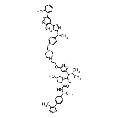 Cc1ncsc1-c1ccc([C@H](C)NC(=O)[C@@H]2C[C@@H](O)CN2C(=O)C(c2cc(OCCN3CCN(Cc4ccc(C(C)n5cc(-c6cc(-c7ccccc7O)nnc6N)cn5)cc4)CC3)no2)C(C)C)cc1